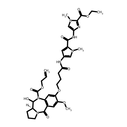 C=CCOC(=O)N1c2cc(OCCCC(=O)Nc3cc(C(=O)Nc4cn(C)c(C(=O)OCC)n4)n(C)c3)c(OC)cc2C(=O)N2CCC[C@H]2C1O